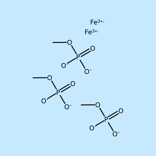 COP(=O)([O-])[O-].COP(=O)([O-])[O-].COP(=O)([O-])[O-].[Fe+3].[Fe+3]